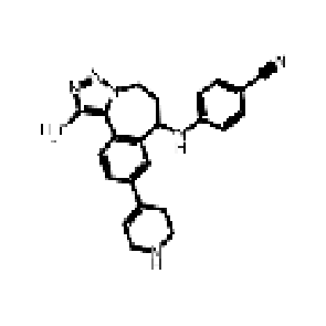 Cc1nnn2c1-c1ccc(C3=CCNCC3)cc1C(Nc1ccc(C#N)cc1)CC2